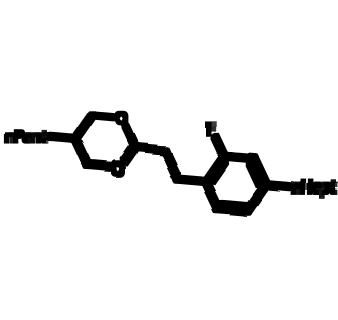 CCCCCCCc1ccc(CCC2OCC(CCCCC)CO2)c(F)c1